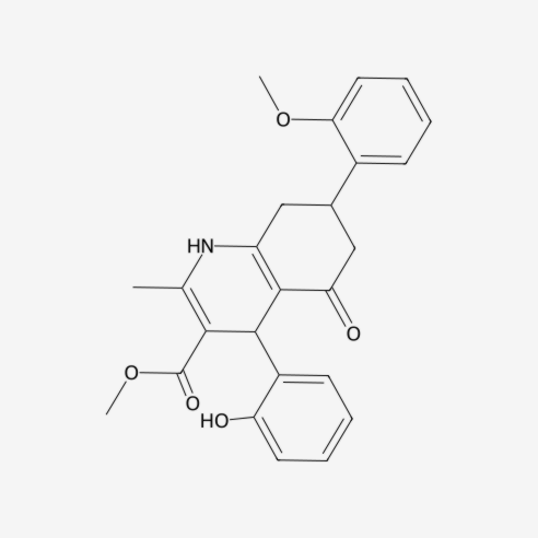 COC(=O)C1=C(C)NC2=C(C(=O)CC(c3ccccc3OC)C2)C1c1ccccc1O